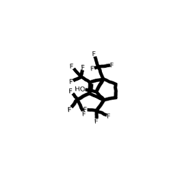 OC1C2(C(F)(F)F)CCC1(C(F)(F)F)C(C(F)(F)F)=C2C(F)(F)F